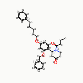 CCCC(=O)N1CCC(=O)CC1c1ccc(OCCCCCc2ccccc2)cc1OCc1ccccc1